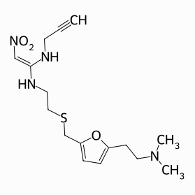 C#CCNC(=C[N+](=O)[O-])NCCSCc1ccc(CCN(C)C)o1